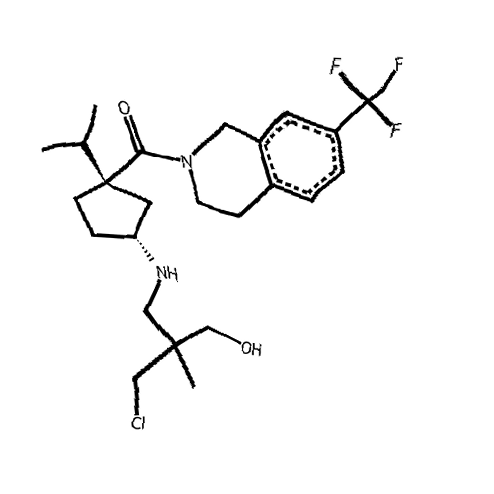 CC(C)[C@]1(C(=O)N2CCc3ccc(C(F)(F)F)cc3C2)CC[C@@H](NCC(C)(CO)CCl)C1